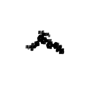 CC(C)c1ccc(N2CC(CS(C)(=O)=O)C2)c2cnc(Nc3ccnc(-c4cnn(S(=O)(=O)C5COC5)c4)n3)cc12